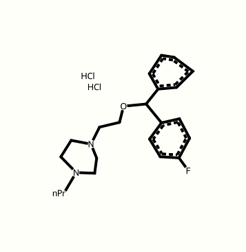 CCCN1CCN(CCOC(c2ccccc2)c2ccc(F)cc2)CC1.Cl.Cl